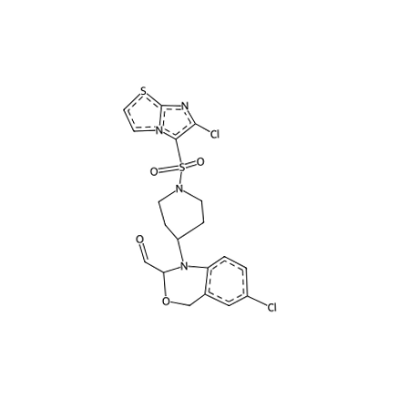 O=CC1OCc2cc(Cl)ccc2N1C1CCN(S(=O)(=O)c2c(Cl)nc3sccn23)CC1